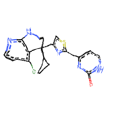 O=c1nc(-c2nc(C3(C4CC4)CNc4nccc(Cl)c43)cs2)cc[nH]1